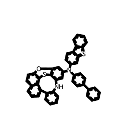 c1ccc(-c2ccc(N(c3cc4c5c(c3)Oc3ccc6cccc(c6c3S5)-c3ccccc3N4)c3ccc4c(c3)sc3ccccc34)cc2)cc1